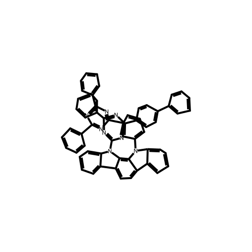 c1ccc(-c2ccc(-c3nc(-c4ccccc4)nc(-n4c5ccccc5c5ccc6c7ccccc7n(-c7cccc(-c8nc(-c9ccccc9)nc(-c9ccccc9)n8)c7)c6c54)n3)cc2)cc1